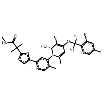 [2H]C([2H])(OC1=C(Cl)[C@@H](O)N(c2cc(-c3csc(C(C)(C)C(=O)NC)n3)ncc2C)C(C)=C1)c1ncc(F)cc1F